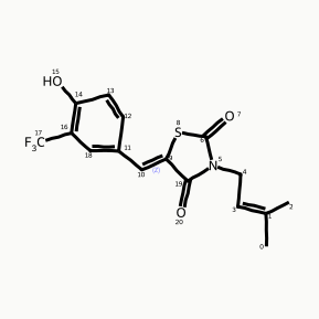 CC(C)=CCN1C(=O)S/C(=C\c2ccc(O)c(C(F)(F)F)c2)C1=O